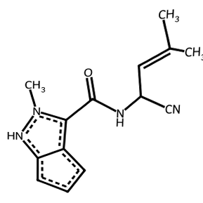 CC(C)=CC(C#N)NC(=O)c1c2cccc-2[nH]n1C